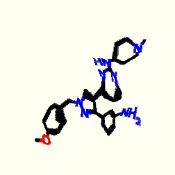 COc1ccc(Cn2cc(-c3ccnc(NC4CCN(C)CC4)n3)c(-c3cccc(N)c3)n2)cc1